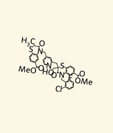 COC(=O)c1ccc2c(c1)N(Cc1ccnc(CC3(CO)Sc4ccc(C(=O)OC)cc4N(Cc4c(F)cccc4Cl)C3=O)c1)C(=O)C(C)S2